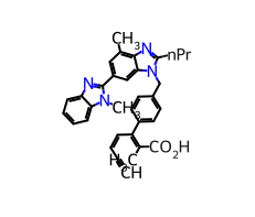 C#C/C=C\C(=C(/C)C(=O)O)c1ccc(Cn2c(CCC)nc3c(C)cc(-c4nc5ccccc5n4C)cc32)cc1